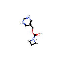 O=C(OCc1cncnc1)N1CCC1